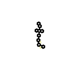 c1ccc2cc(-c3c4ccccc4c(-c4ccc(-c5ccc6c(c5)sc5c6ccc6sc7ccccc7c65)cc4)c4ccccc34)ccc2c1